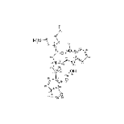 CCCCN(CCN)C(=O)CN1C[C@H](c2ccc3c(c2)OCO3)[C@@H](C(=O)O)[C@@H]1COc1ccccc1OC